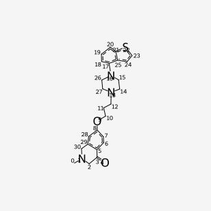 CN1CC(=O)c2ccc(OCCCN3CCN(c4cccc5sccc45)CC3)cc2C1